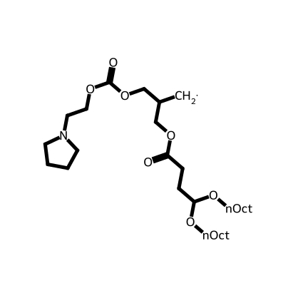 [CH2]C(COC(=O)CCC(OCCCCCCCC)OCCCCCCCC)COC(=O)OCCN1CCCC1